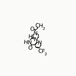 C=CC(=O)N1CCN2c3ncc(C(F)(F)F)cc3C(=O)NC[C@H]2C1